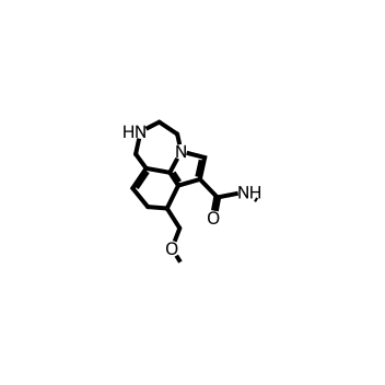 CNC(=O)c1cn2c3c1C(COC)CC=C3CNCC2